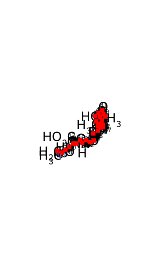 C=C/C(=C\C)SCC(=O)NCC(=O)N[C@@H](CCC(=O)O)C(=O)NC1CCC(Oc2ccc([C@@H]3O[C@@H]4C[C@H]5[C@@H]6CCC7=CC(=O)C=C[C@]7(C)[C@H]6[C@@H](O)C[C@]5(C)[C@]4(C(=O)SCF)O3)c(F)c2)CC1